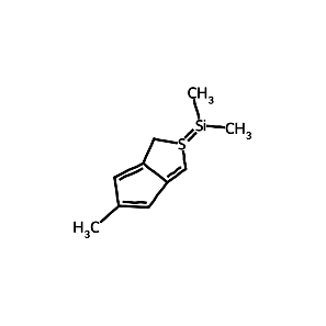 CC1=CC2=CS(=[Si](C)C)CC2=C1